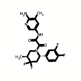 Cc1cc(NC(=O)C(=O)N2C[C@H](C)C(F)(F)C[C@H]2c2ccc(F)c(F)c2)cnc1N